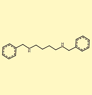 c1ccc(CNCCCCNCc2ccccc2)cc1